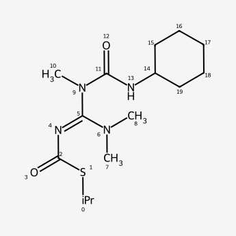 CC(C)SC(=O)N=C(N(C)C)N(C)C(=O)NC1CCCCC1